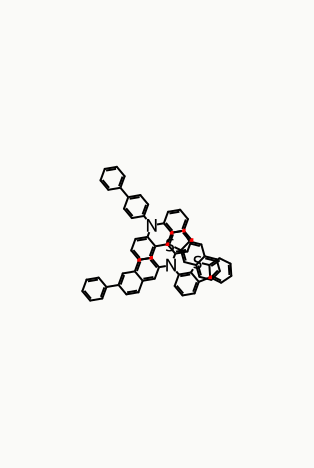 c1ccc(-c2ccc(N(c3ccccc3-c3ccccc3N(c3ccc4cc(-c5ccccc5)ccc4c3)c3cccc4c3sc3ccccc34)c3cccc4c3sc3cc5ccccc5cc34)cc2)cc1